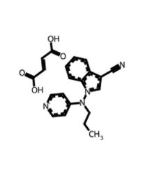 CCCN(c1ccncc1)n1cc(C#N)c2ccccc21.O=C(O)C=CC(=O)O